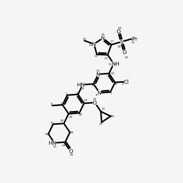 Cc1cc(Nc2ncc(Cl)c(Nc3cn(C)nc3S(=O)(=O)C(C)C)n2)c(OC2CC2)cc1C1CCNC(=O)C1